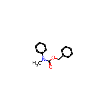 CN(C(=O)OCc1ccccc1)c1[c]cccc1